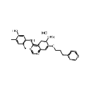 COc1cc2c(Nc3cc(O)c(C)cc3F)ncnc2cc1OCCCc1ccncc1.Cl